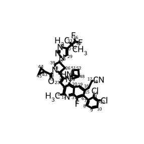 Cc1nc2c(F)c(-c3cccc(Cl)c3Cl)c(CCC#N)cc2c2c1cc(C1CC(n3cc(C(C)(C)C(F)F)nn3)CN1C(=O)C1CC1)n2C1C2CNC1C2